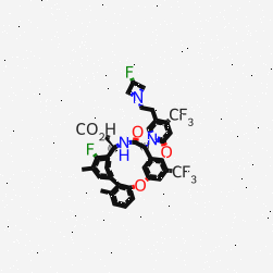 Cc1cc2cc(c1F)[C@@H](CC(=O)O)NC(=O)[C@@H](n1cc(CCN3CC(F)C3)c(C(F)(F)F)cc1=O)c1cc(cc(C(F)(F)F)c1)Oc1cccc(C)c1-2